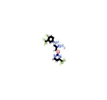 N/C(=C\Nc1ccc(F)c(C(F)F)c1)COc1nccc(C(F)F)n1